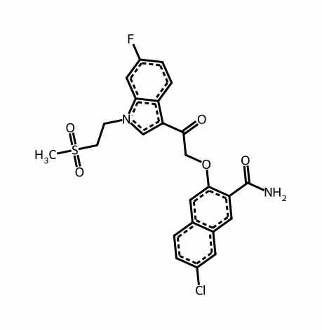 CS(=O)(=O)CCn1cc(C(=O)COc2cc3ccc(Cl)cc3cc2C(N)=O)c2ccc(F)cc21